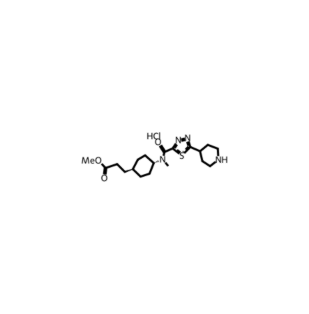 COC(=O)CC[C@H]1CC[C@H](N(C)C(=O)c2nnc(C3CCNCC3)s2)CC1.Cl